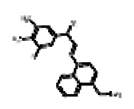 CNCc1ccc(/C=C/C(c2cc(C)c(C)c(Cl)c2)C(F)(F)F)c2ccccc12